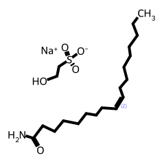 CCCCCCCC/C=C\CCCCCCCC(N)=O.O=S(=O)([O-])CCO.[Na+]